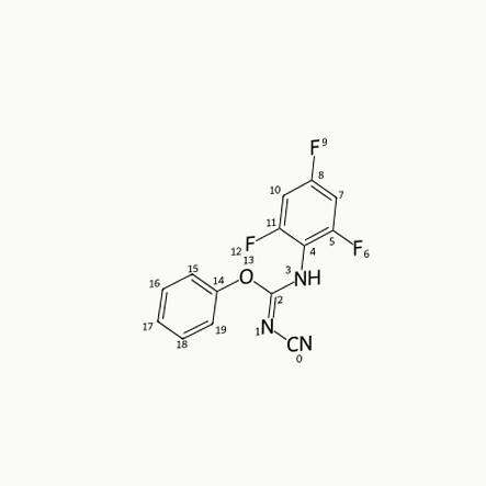 N#C/N=C(\Nc1c(F)cc(F)cc1F)Oc1ccccc1